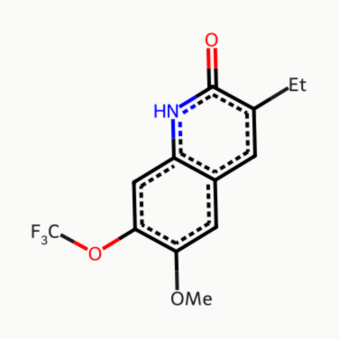 CCc1cc2cc(OC)c(OC(F)(F)F)cc2[nH]c1=O